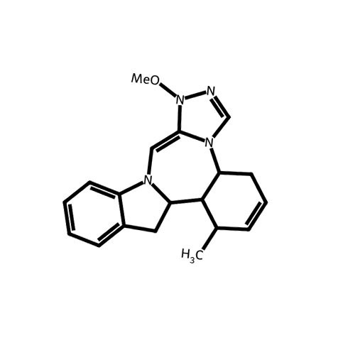 CON1N=CN2C1=CN1c3ccccc3CC1C1C(C)C=CCC12